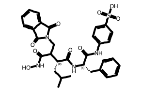 CC(C)C[C@@H](C(=O)N[C@@H](Cc1ccccc1)C(=O)Nc1ccc(S(=O)(=O)O)cc1)C(CN1C(=O)c2ccccc2C1=O)C(=O)NO